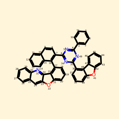 c1ccc(-c2nc(-c3ccc4ccccc4c3-c3cccc4oc5cc6ccccc6nc5c34)nc(-c3cccc4oc5ccccc5c34)n2)cc1